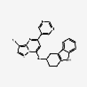 CC(C)c1cnn2c(NC3CCc4[nH]c5ccccc5c4C3)cc(-c3cncnc3)nc12